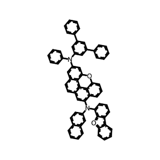 c1ccc(-c2cc(-c3ccccc3)cc(N(c3ccccc3)c3cc4c5c(ccc6cc(N(c7ccc8ccccc8c7)c7cccc8c7oc7ccccc78)c7cccc(c7c65)O4)c3)c2)cc1